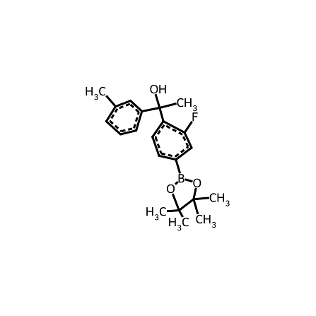 Cc1cccc(C(C)(O)c2ccc(B3OC(C)(C)C(C)(C)O3)cc2F)c1